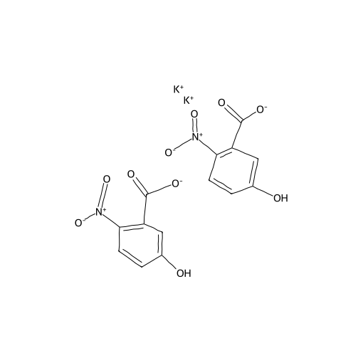 O=C([O-])c1cc(O)ccc1[N+](=O)[O-].O=C([O-])c1cc(O)ccc1[N+](=O)[O-].[K+].[K+]